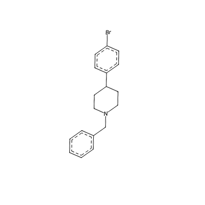 Brc1ccc(C2CCN(Cc3ccccc3)CC2)cc1